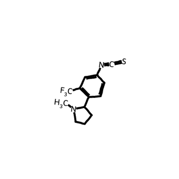 CN1CCCC1c1ccc(N=C=S)cc1C(F)(F)F